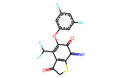 N=C1C(=O)C(Oc2cc(F)cc(F)c2)=C(C(F)F)C2=C1SCC2=O